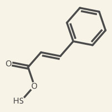 O=C(C=Cc1ccccc1)OS